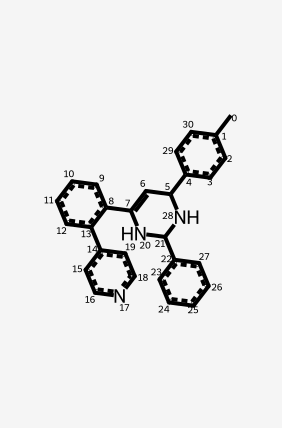 Cc1ccc(C2C=C(c3ccccc3-c3ccncc3)NC(c3ccccc3)N2)cc1